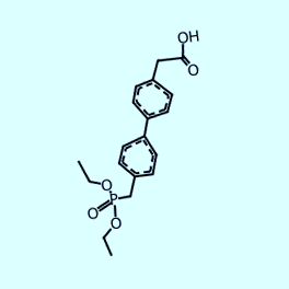 CCOP(=O)(Cc1ccc(-c2ccc(CC(=O)O)cc2)cc1)OCC